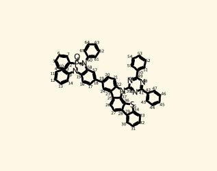 O=P1(c2ccccc2)N(c2ccccc2)c2ccc(-c3ccc4c(c3)c3ccc5c6ccccc6sc5c3n4-c3nc(-c4ccccc4)nc(-c4ccccc4)n3)cc2N1c1ccccc1